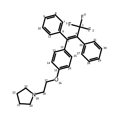 FC(F)(F)C(=C(c1ccccc1)c1ccc(OCCN2CCCC2)cc1)c1ccccc1